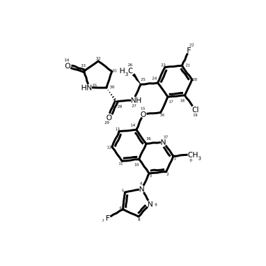 Cc1cc(-n2cc(F)cn2)c2cccc(OCc3c(Cl)cc(F)cc3[C@H](C)NC(=O)[C@H]3CCC(=O)N3)c2n1